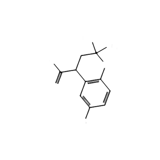 CC1(C)CC(C(=O)O)c2cc(Br)ccc2O1